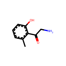 Cc1cccc(O)c1C(=O)CN